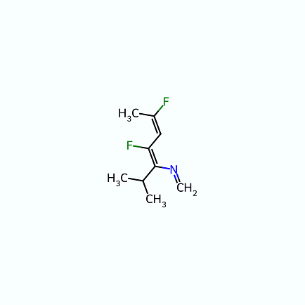 C=N/C(=C(F)\C=C(/C)F)C(C)C